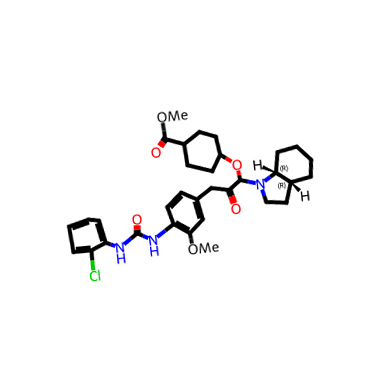 COC(=O)C1CCC(OC(C(=O)Cc2ccc(NC(=O)Nc3ccccc3Cl)c(OC)c2)N2CC[C@H]3CCCC[C@H]32)CC1